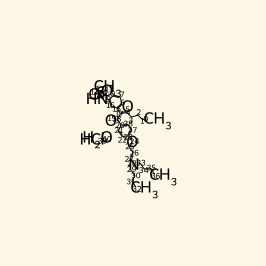 CCCCc1oc2ccc(NS(C)(=O)=O)cc2c1C(=O)c1ccc(OCCCN(CCCC)CCCC)cc1.Cl.O